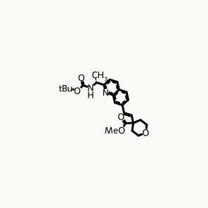 COC(=O)C1(/C=C/c2ccc3ccc([C@@H](C)NC(=O)OC(C)(C)C)nc3c2)CCOCC1